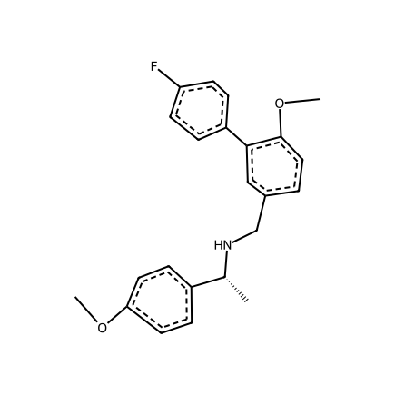 COc1ccc([C@@H](C)NCc2ccc(OC)c(-c3ccc(F)cc3)c2)cc1